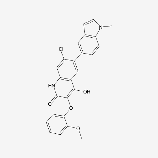 COc1ccccc1Oc1c(O)c2cc(-c3ccc4c(ccn4C)c3)c(Cl)cc2[nH]c1=O